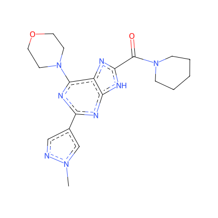 Cn1cc(-c2nc(N3CCOCC3)c3nc(C(=O)N4CCCCC4)[nH]c3n2)cn1